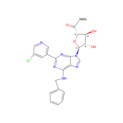 CNC(=O)[C@H]1O[C@H](n2cnc3c(NCc4ccccc4)nc(-c4cncc(Cl)c4)nc32)[C@@H](O)[C@@H]1O